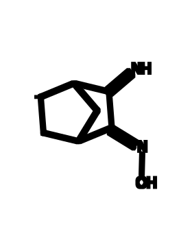 N=C1C(=NO)C2C[CH]C1C2